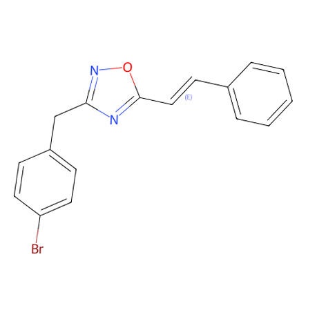 Brc1ccc(Cc2noc(/C=C/c3ccccc3)n2)cc1